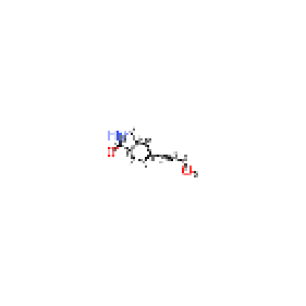 COCC#Cc1ccc2c(c1)CNC2=O